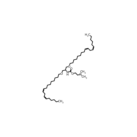 CCCCC/C=C\C/C=C\CCCCCCCCOCC(COCCCCCCCC/C=C\C/C=C\CCCCC)NC(=O)OCCN(C)C